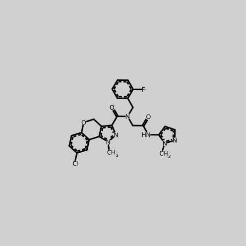 Cn1nccc1NC(=O)CN(Cc1ccccc1F)C(=O)c1nn(C)c2c1COc1ccc(Cl)cc1-2